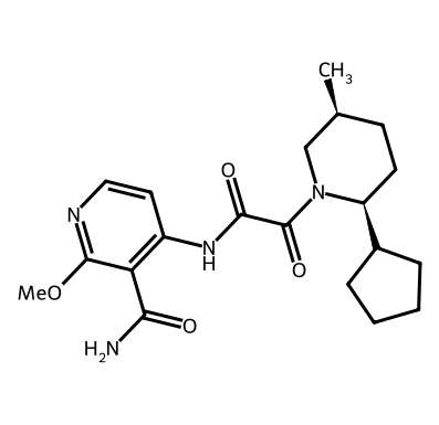 COc1nccc(NC(=O)C(=O)N2C[C@@H](C)CC[C@H]2C2CCCC2)c1C(N)=O